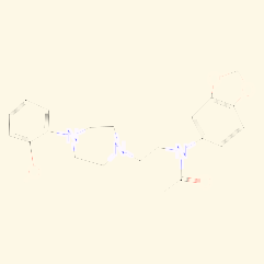 COc1ccccc1N1CCN(CCN(C(C)=O)c2ccc3c(c2)OCO3)CC1